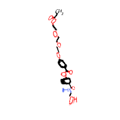 C=CC(=O)OCCOCCOCCOc1ccc(C(=O)Oc2ccc(C(=O)NCCO)cc2)cc1